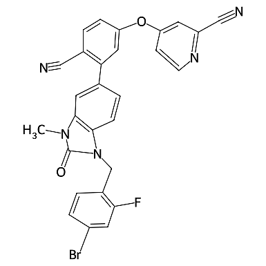 Cn1c(=O)n(Cc2ccc(Br)cc2F)c2ccc(-c3cc(Oc4ccnc(C#N)c4)ccc3C#N)cc21